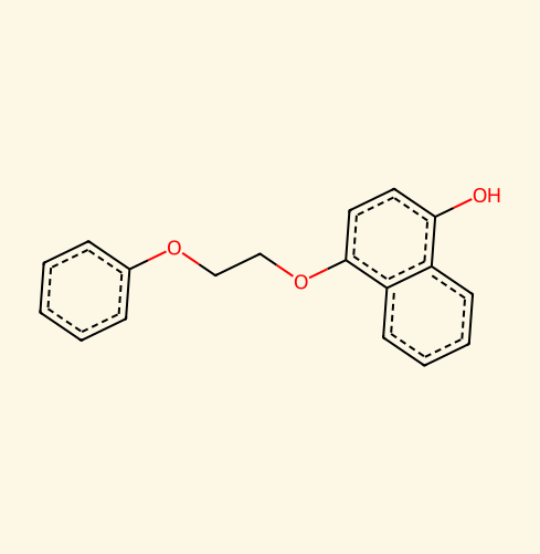 Oc1ccc(OCCOc2ccccc2)c2ccccc12